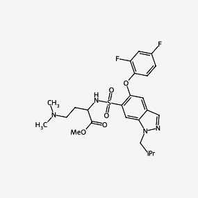 COC(=O)C(CCN(C)C)NS(=O)(=O)c1cc2c(cnn2CC(C)C)cc1Oc1ccc(F)cc1F